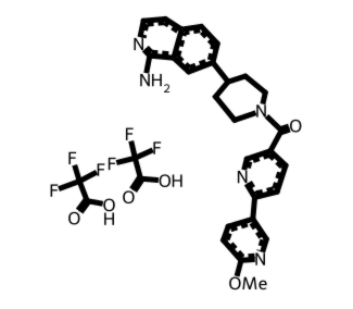 COc1ccc(-c2ccc(C(=O)N3CCC(c4ccc5ccnc(N)c5c4)CC3)cn2)cn1.O=C(O)C(F)(F)F.O=C(O)C(F)(F)F